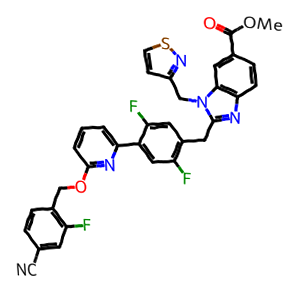 COC(=O)c1ccc2nc(Cc3cc(F)c(-c4cccc(OCc5ccc(C#N)cc5F)n4)cc3F)n(Cc3ccsn3)c2c1